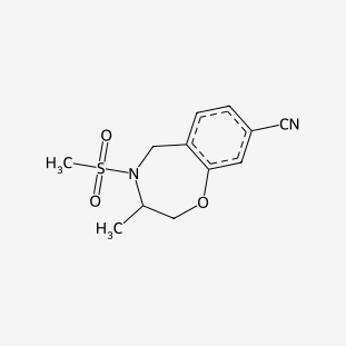 CC1COc2cc(C#N)ccc2CN1S(C)(=O)=O